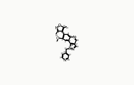 COc1cc2c(cc1-c1c(C)noc1C)ncc1cnn(Cc3ccncc3)c12